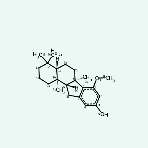 COc1cc(O)cc2c1[C@]1(C)CC[C@H]3C(C)(C)CCC[C@]3(C)[C@H]1C2